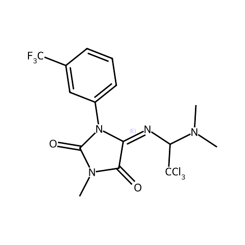 CN1C(=O)/C(=N\C(N(C)C)C(Cl)(Cl)Cl)N(c2cccc(C(F)(F)F)c2)C1=O